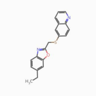 CCc1ccc2nc(CSc3ccc4ncccc4c3)oc2c1